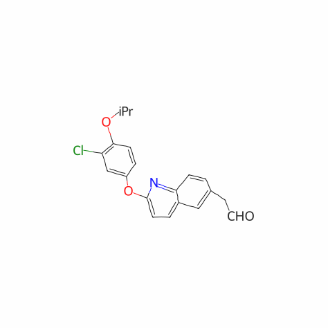 CC(C)Oc1ccc(Oc2ccc3cc(CC=O)ccc3n2)cc1Cl